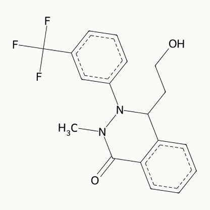 CN1C(=O)c2ccccc2C(CCO)N1c1cccc(C(F)(F)F)c1